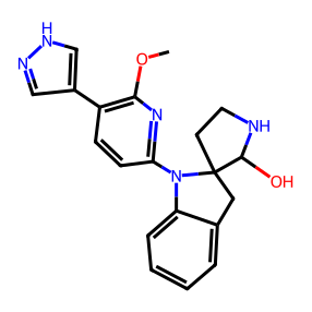 COc1nc(N2c3ccccc3CC23CCNC3O)ccc1-c1cn[nH]c1